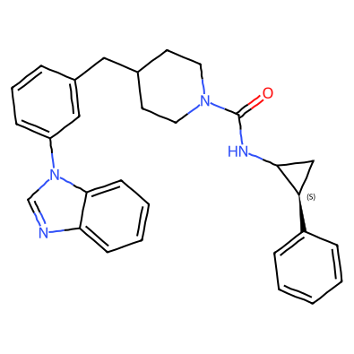 O=C(NC1C[C@H]1c1ccccc1)N1CCC(Cc2cccc(-n3cnc4ccccc43)c2)CC1